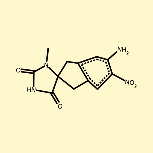 CN1C(=O)NC(=O)C12Cc1cc(N)c([N+](=O)[O-])cc1C2